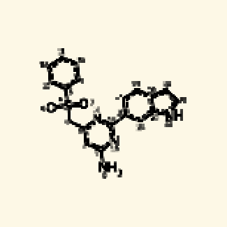 Nc1cc(CS(=O)(=O)c2ccccc2)nc(-c2ccc3cc[nH]c3c2)n1